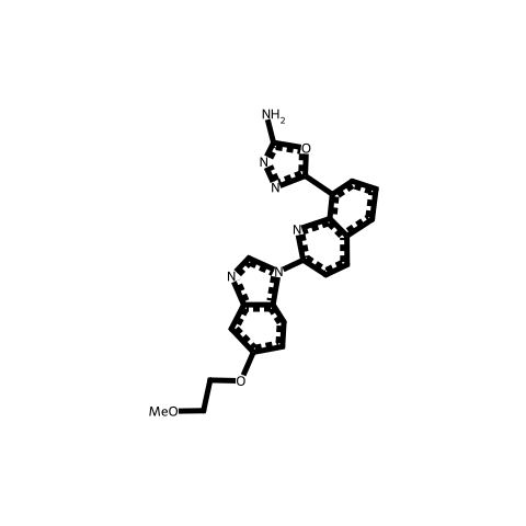 COCCOc1ccc2c(c1)ncn2-c1ccc2cccc(-c3nnc(N)o3)c2n1